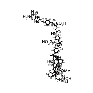 CC[C@]1(O)CC2CN(CCc3c([nH]c4ccccc34)[C@@](C(=O)OC)(c3cc4c(cc3OC)N(C)[C@H]3[C@@](O)(CNC(=O)c5ccc([Si](C)(C)O[Si](C)(CCCC(=O)O)c6ccc(NC(=O)CC[C@H](NC(=O)c7ccc(NCc8cnc9nc(N)[nH]c(=O)c9n8)cc7)C(=O)O)cc6)cc5)[C@H](O)[C@]5(CC)C=CCN6CC[C@]43[C@H]65)C2)C1